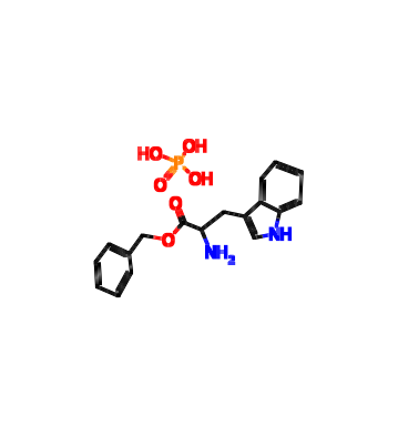 NC(Cc1c[nH]c2ccccc12)C(=O)OCc1ccccc1.O=P(O)(O)O